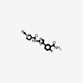 N#CN1CCC(C(=O)Nc2ncc(-c3ccc(F)c(C(N)=O)c3)s2)C1